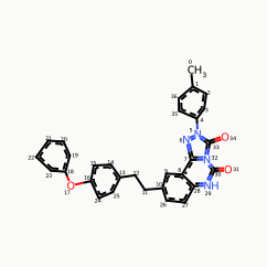 Cc1ccc(-n2nc3c4cc(CCc5ccc(Oc6ccccc6)cc5)ccc4[nH]c(=O)n3c2=O)cc1